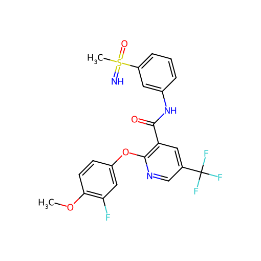 COc1ccc(Oc2ncc(C(F)(F)F)cc2C(=O)Nc2cccc(S(C)(=N)=O)c2)cc1F